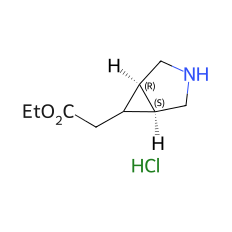 CCOC(=O)CC1[C@H]2CNC[C@@H]12.Cl